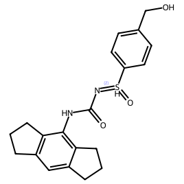 O=C(/N=[SH](=O)/c1ccc(CO)cc1)Nc1c2c(cc3c1CCC3)CCC2